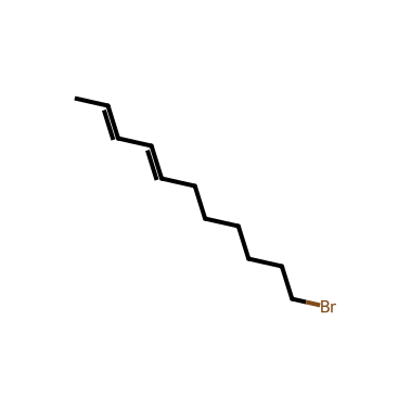 CC=CC=CCCCCCCBr